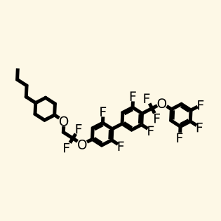 CCCCC1CCC(OCC(F)(F)Oc2cc(F)c(-c3cc(F)c(C(F)(F)Oc4cc(F)c(F)c(F)c4)c(F)c3)c(F)c2)CC1